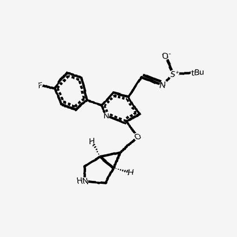 CC(C)(C)[S+]([O-])N=Cc1cc(OC2[C@H]3CNC[C@@H]23)nc(-c2ccc(F)cc2)c1